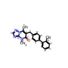 CCCc1c(Cc2ccc(-c3ccccc3C#N)cc2)c(=O)n(C)c2ncnn12